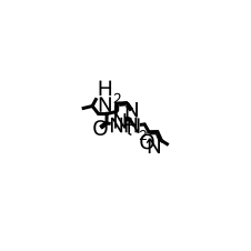 Cc1cc(CN(C)c2nccc([C@](N)(CC(C)C)C(N)=O)n2)on1